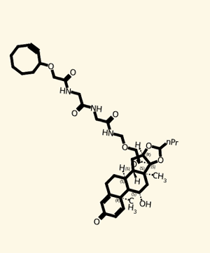 CCCC1O[C@@H]2C[C@H]3[C@@H]4CCC5=CC(=O)C=C[C@]5(C)C4[C@@H](O)C[C@]3(C)[C@]2(C(=O)COCNC(=O)CNC(=O)CNC(=O)COC2C#CCCCCC2)O1